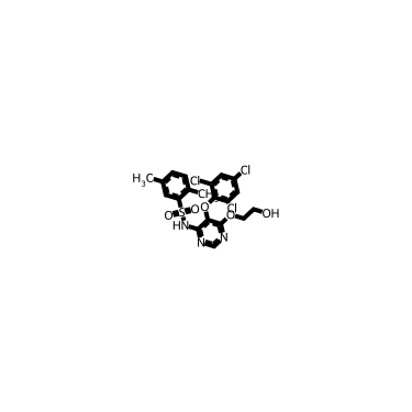 Cc1ccc(C)c(S(=O)(=O)Nc2ncnc(OCCO)c2Oc2c(Cl)cc(Cl)cc2Cl)c1